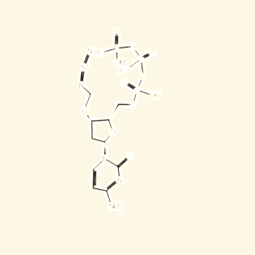 [N-]=[N+]=NCO[C@@H]1C[C@H](n2ccc(N)nc2=O)O[C@@H]1COP(=O)(O)OP(=O)(O)OP(=O)(O)O